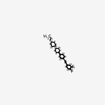 CCC[C@H]1CC[C@H](C2CCC(c3ccc(C#Cc4ccc(F)c(F)c4)cc3)CC2)CC1